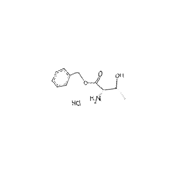 C[C@@H](O)[C@H](N)C(=O)OCc1ccccc1.Cl